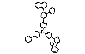 C1=c2ccccc2=C(c2ccc(-c3ccc(N(c4ccc(-c5ccccc5)cc4)c4ccc(-c5cccc6c5oc5ccccc56)cc4)cc3)cc2-c2ccccc2)CC1